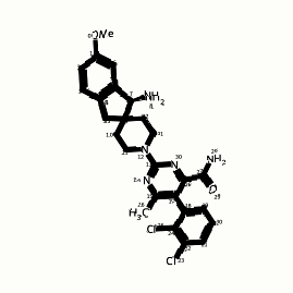 COc1ccc2c(c1)[C@@H](N)C1(CCN(c3nc(C)c(-c4cccc(Cl)c4Cl)c(C(N)=O)n3)CC1)C2